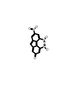 O=C1C=C2C=c3cc([N+](=O)[O-])cc([N+](=O)[O-])c3=C2C([N+](=O)[O-])=C1